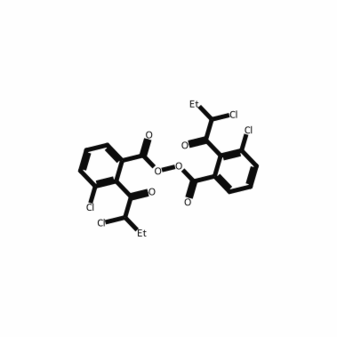 CCC(Cl)C(=O)c1c(Cl)cccc1C(=O)OOC(=O)c1cccc(Cl)c1C(=O)C(Cl)CC